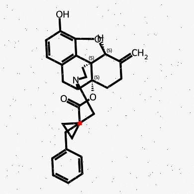 C=C1CC[C@@]2(OC(=O)CCc3ccccc3)C3Cc4ccc(O)c5c4[C@@]2(CCN3CC2CC2)[C@H]1O5